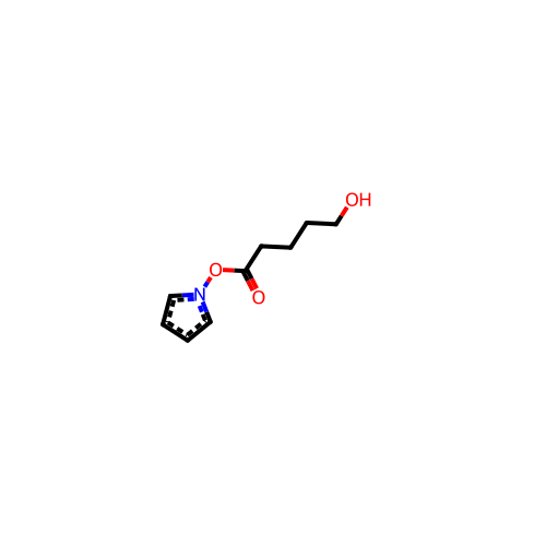 O=C(CCCCO)On1cccc1